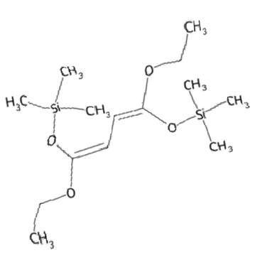 CCOC(=CC=C(OCC)O[Si](C)(C)C)O[Si](C)(C)C